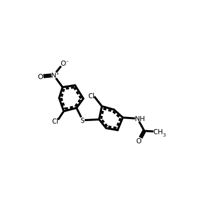 CC(=O)Nc1ccc(Sc2ccc([N+](=O)[O-])cc2Cl)c(Cl)c1